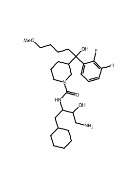 COCCCCC(O)(c1cccc(Cl)c1F)C1CCCN(C(=O)NC(CC2CCCCC2)C(O)CN)C1